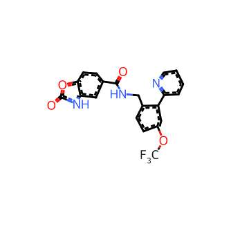 O=C(NCc1ccc(OC(F)(F)F)cc1-c1ccccn1)c1ccc2oc(=O)[nH]c2c1